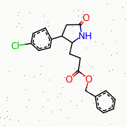 O=C1CC(c2ccc(Cl)cc2)C(CCC(=O)OCc2ccccc2)N1